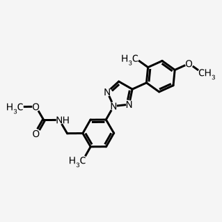 COC(=O)NCc1cc(-n2ncc(-c3ccc(OC)cc3C)n2)ccc1C